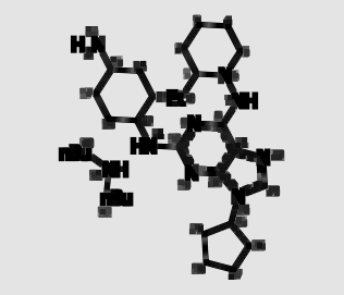 CCC1CCCCN1Nc1nc(NC2CCC(N)CC2)nc2c1ncn2C1CCCC1.CCCCNCCCC